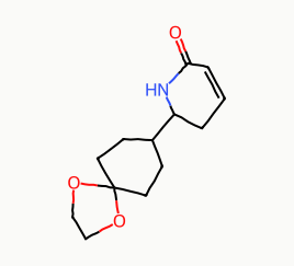 O=C1C=CCC(C2CCC3(CC2)OCCO3)N1